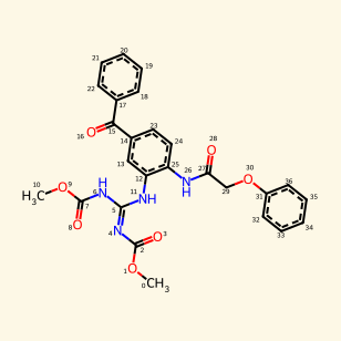 COC(=O)/N=C(/NC(=O)OC)Nc1cc(C(=O)c2ccccc2)ccc1NC(=O)COc1ccccc1